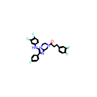 O=C(CCc1ccc(F)c(F)c1)N1CCn2c(nc(-c3ccc(F)cc3)c2Nc2ccc(F)c(F)c2)C1